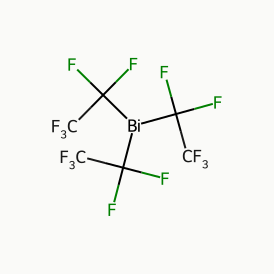 FC(F)(F)[C](F)(F)[Bi]([C](F)(F)C(F)(F)F)[C](F)(F)C(F)(F)F